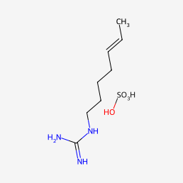 CC=CCCCCNC(=N)N.O=S(=O)(O)O